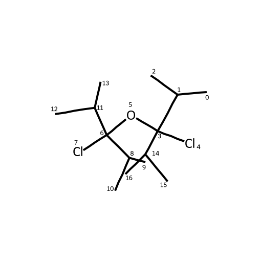 CC(C)C(Cl)(OC(Cl)(C(C)C)C(C)C)C(C)C